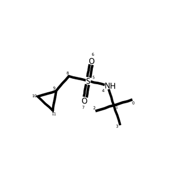 CC(C)(C)NS(=O)(=O)CC1CC1